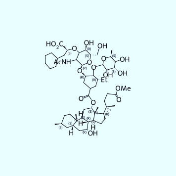 CC[C@@H]1CC(C(=O)O[C@H]2C[C@H]3[C@@H]([C@H](O)C[C@@H]4C[C@@H](C)CC[C@@]43C)[C@@H]3CC[C@H]([C@H](C)CCC(=O)OC)[C@@]23C)C[C@@H](O[C@@H]2O[C@@H](CO)[C@H](O)C(O[C@@H](CC3CCCCC3)C(=O)O)C2NC(C)=O)C1OC1O[C@@H](C)C(O)[C@H](O)[C@@H]1O